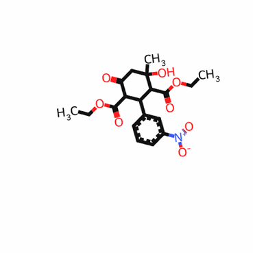 CCOC(=O)C1C(=O)CC(C)(O)C(C(=O)OCC)C1c1cccc([N+](=O)[O-])c1